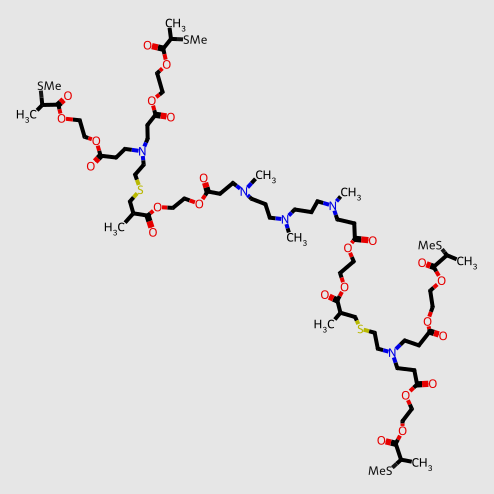 CSC(C)C(=O)OCCOC(=O)CCN(CCSCC(C)C(=O)OCCOC(=O)CCN(C)CCCN(C)CCCN(C)CCC(=O)OCCOC(=O)C(C)CSCCN(CCC(=O)OCCOC(=O)C(C)SC)CCC(=O)OCCOC(=O)C(C)SC)CCC(=O)OCCOC(=O)C(C)SC